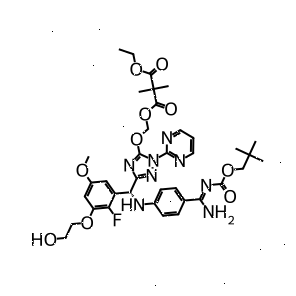 CCOC(=O)C(C)(C)C(=O)OCOc1nc([C@H](Nc2ccc(/C(N)=N/C(=O)OCC(C)(C)C)cc2)c2cc(OC)cc(OCCO)c2F)nn1-c1ncccn1